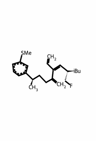 C=C/C(=C/[C@@H](CF)[C@H](C)CC)C(=C)CC[C@@H](C)c1cccc(SC)c1